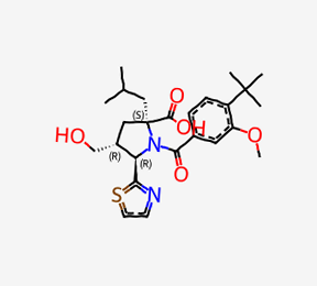 COc1cc(C(=O)N2[C@@H](c3nccs3)[C@H](CO)C[C@@]2(CC(C)C)C(=O)O)ccc1C(C)(C)C